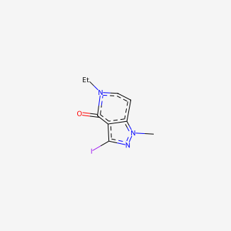 CCn1ccc2c(c(I)nn2C)c1=O